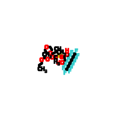 C1COCCO1.CCCO.CCCOC(C)=O.C[S+](C)[O-].FC(F)(F)C(F)(F)C(F)(F)C(F)(F)C(F)(F)C(F)(F)F.OCCO